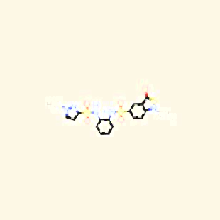 Cn1ccc(S(=O)(=O)Nc2ccccc2NS(=O)(=O)c2ccc3c(c2)c(=O)sn3C)n1